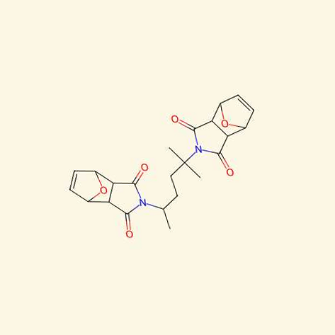 CC(CCC(C)(C)N1C(=O)C2C3C=CC(O3)C2C1=O)N1C(=O)C2C3C=CC(O3)C2C1=O